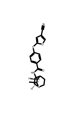 C[C@H]1[C@H](NC(=O)c2ccc(Sc3cc(C#N)co3)cc2)C2CCN1CC2